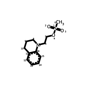 CS(=O)(=O)OCCN1CCCc2ccccc21